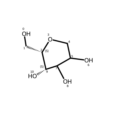 OC[C@@H]1OCC(O)C(O)[C@@H]1O